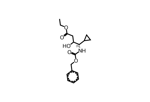 CCOC(=O)CC(O)[C@@H](NC(=O)OCc1ccccc1)C1CC1